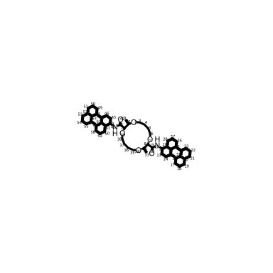 C=C1OCCCCOC(C(=O)Nc2ccc3c4cccc5cccc(c6cccc2c63)c54)C(=C)OCCCCOC1C(=O)Nc1ccc2c3cccc4cccc(c5cccc1c52)c43